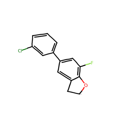 Fc1cc(-c2cccc(Cl)c2)cc2c1O[CH]C2